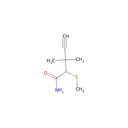 C#CC(C)(C)C(SC)C(N)=O